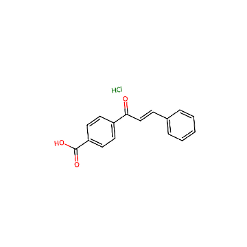 Cl.O=C(O)c1ccc(C(=O)/C=C/c2ccccc2)cc1